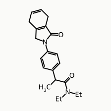 CCN(CC)C(=O)C(C)c1ccc(N2CC3=C(CC=CC3)C2=O)cc1